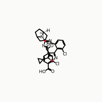 O=C(O)c1ccc(-c2nc(N3C4CC[C@H]3C[C@@H](OCc3c(-c5c(Cl)cccc5Cl)noc3C3CC3)C4)no2)cc1Cl